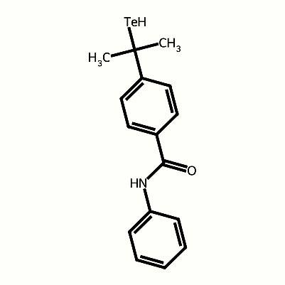 CC(C)([TeH])c1ccc(C(=O)Nc2ccccc2)cc1